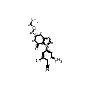 C=C/C=C(\C=C(\Cl)CC#N)n1cnc2c1C(=O)C[C@H](COCN)C2